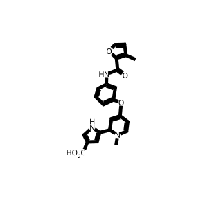 Cc1ccoc1C(=O)Nc1cccc(OC2=CC(c3cc(C(=O)O)c[nH]3)N(C)C=C2)c1